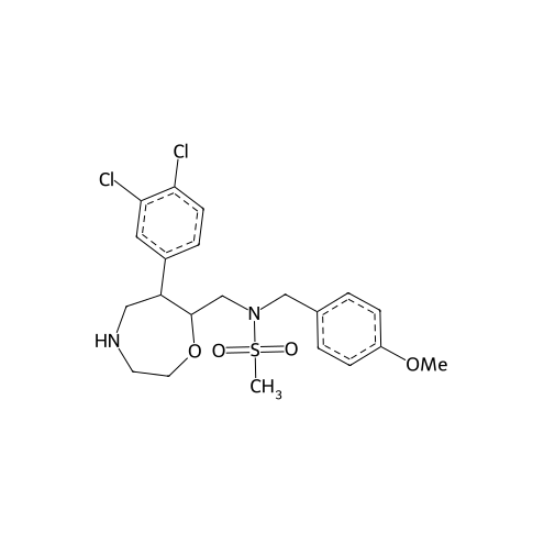 COc1ccc(CN(CC2OCCNCC2c2ccc(Cl)c(Cl)c2)S(C)(=O)=O)cc1